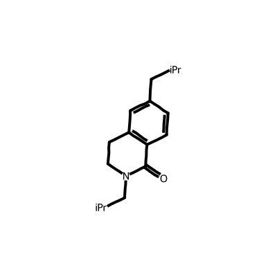 CC(C)Cc1ccc2c(c1)CCN(CC(C)C)C2=O